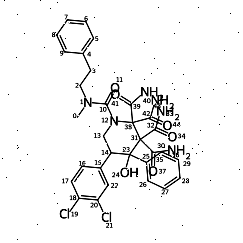 CN(CCc1ccccc1)C(=O)N1CC(c2ccc(Cl)c(Cl)c2)C(O)(c2ccccc2)C(C(N)=O)(C(N)=O)C1(C(N)=O)C(N)=O